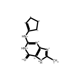 Cc1nc2nc(NC3=CCCC3)[nH]c(=O)c2[nH]1